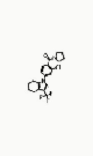 O=C(c1ccc(-n2nc(C(F)(F)F)c3c2CCCC3)cc1Cl)N1CCCC1